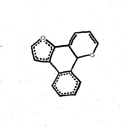 C1=COC2C(=C1)c1occc1-c1ccccc12